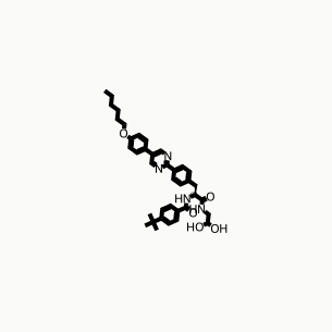 CCCCCCOc1ccc(-c2cnc(-c3ccc(C[C@H](NC(=O)c4ccc(C(C)(C)C)cc4)C(=O)NCC(O)O)cc3)nc2)cc1